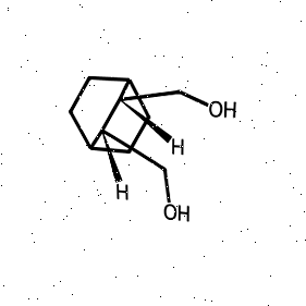 OC[C@@H]1C2CCC(CC2)[C@@H]1CO